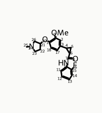 COc1cc(C2CC2C(=O)Nc2ccccc2F)ccc1OC1CCN(C)C1